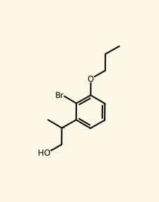 CCCOc1cccc([C](C)CO)c1Br